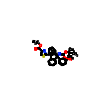 COC(=O)c1csc(C(C)c2ccccc2C(N=C(OO)OC(C)(C)C)(c2ccccc2)c2ccccc2)n1